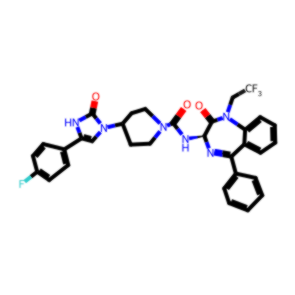 O=C(N[C@@H]1N=C(c2ccccc2)c2ccccc2N(CC(F)(F)F)C1=O)N1CCC(n2cc(-c3ccc(F)cc3)[nH]c2=O)CC1